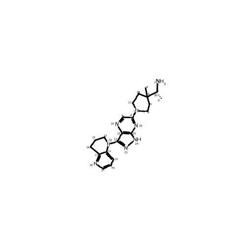 C[C@@H](N)C1(C)CCN(c2cnc3c(N4CCCc5ncccc54)n[nH]c3n2)CC1